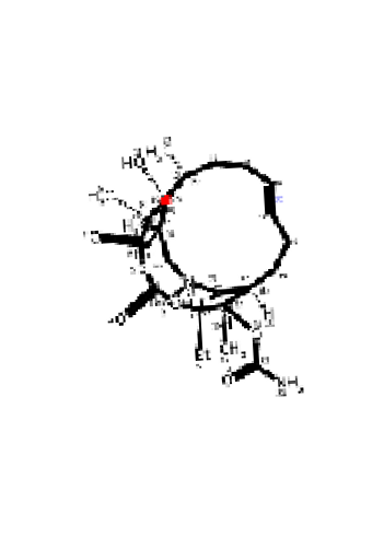 CC[C@H]1OC(=O)SC(=O)[C@H](C)[C@@H](O)[C@]2(C)CC/C=C/CC[C@H]([C@@H](C)N(C)C[C@H](C)C2)[C@]1(C)OC(N)=O